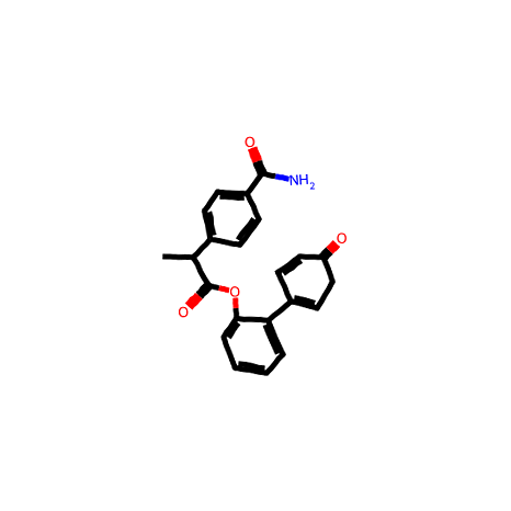 CC(C(=O)Oc1ccccc1C1=CCC(=O)C=C1)c1ccc(C(N)=O)cc1